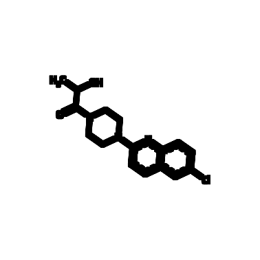 CC(O)C(=O)N1CCN(c2ccc3cc(Cl)ccc3n2)CC1